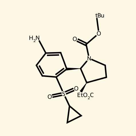 CCOC(=O)[C@@H]1CCN(C(=O)OC(C)(C)C)[C@@H]1c1cc(N)ccc1S(=O)(=O)C1CC1